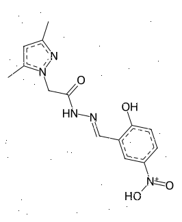 Cc1cc(C)n(CC(=O)N/N=C/c2cc([N+](=O)O)ccc2O)n1